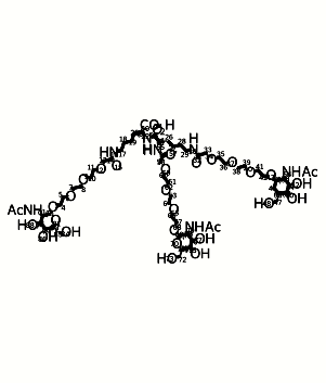 CC(=O)NC1[C@H](OCCOCCOCCOCC(=O)NCCCC[C@H](NC(=O)[C@H](CCCCNC(=O)COCCOCCOCCO[C@@H]2C[C@H](CO)[C@H](O)[C@H](O)[C@H]2NC(C)=O)NC(=O)COCCOCCOCCO[C@@H]2O[C@H](CO)[C@H](O)[C@H](O)[C@H]2NC(C)=O)C(=O)O)O[C@H](CO)[C@H](O)[C@@H]1O